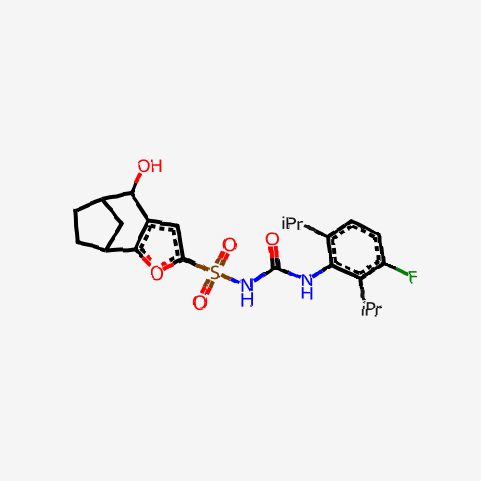 CC(C)c1ccc(F)c(C(C)C)c1NC(=O)NS(=O)(=O)c1cc2c(o1)C1CCC(C1)C2O